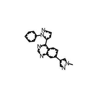 Cn1cc(-c2ccc3c(-c4ccnn4-c4ccccc4)ncnc3c2)cn1